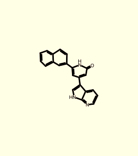 O=c1cc(-c2c[nH]c3ncccc23)cc(-c2ccc3ccccc3c2)[nH]1